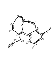 Cc1nc(C)c2ccc3cccc(CC(C)C)c3c2n1